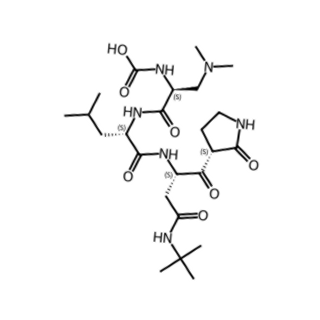 CC(C)C[C@H](NC(=O)[C@H](CN(C)C)NC(=O)O)C(=O)N[C@@H](CC(=O)NC(C)(C)C)C(=O)[C@@H]1CCNC1=O